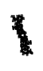 CCC1CCCCN1CC(=O)Nc1nc2cc3nc(NC(=O)CN4CCCCC4CC)sc3cc2s1